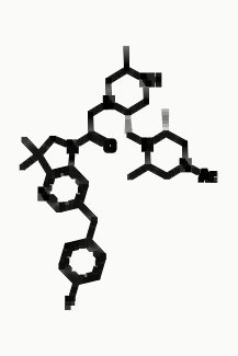 CC(=O)N1CC(C)N(C[C@H]2CNC(C)CN2CC(=O)N2CC(C)(C)c3ncc(Cc4ccc(F)cc4)cc32)[C@H](C)C1